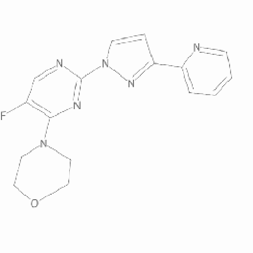 Fc1cnc(-n2ccc(-c3ccccn3)n2)nc1N1CCOCC1